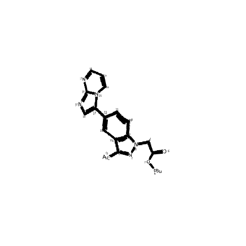 CC(=O)c1nn(CC(=O)OC(C)(C)C)c2ccc(-c3cnc4ncccn34)cc12